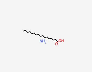 CCCCCCCCCCCCCCCCC(=O)O.N